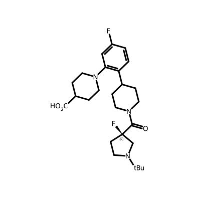 CC(C)(C)N1CC[C@](F)(C(=O)N2CCC(c3ccc(F)cc3N3CCC(C(=O)O)CC3)CC2)C1